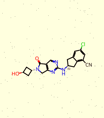 N#Cc1cc(Cl)cc2c1C[C@@H](Nc1ncc3c(n1)CN([C@H]1C[C@H](O)C1)C3=O)C2